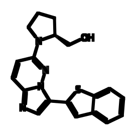 OC[C@@H]1CCCN1c1ccc2ncc(-c3cc4ccccc4s3)n2n1